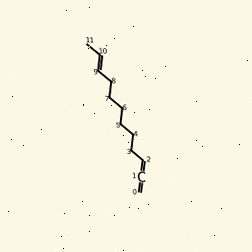 C=C=CCCCCCCC=CC